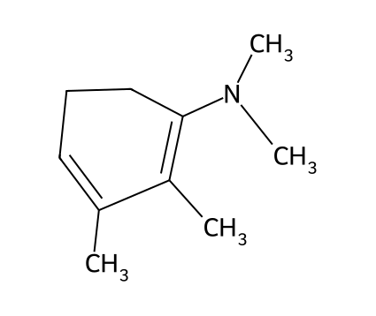 CC1=CCCC(N(C)C)=C1C